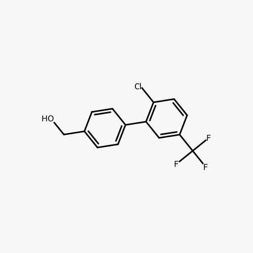 OCc1ccc(-c2cc(C(F)(F)F)ccc2Cl)cc1